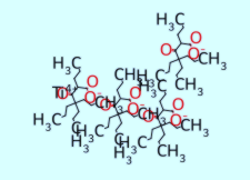 CCCC(C(=O)[O-])C(=O)C(CCC)(CCC)CCC.CCCC(C(=O)[O-])C(=O)C(CCC)(CCC)CCC.CCCC(C(=O)[O-])C(=O)C(CCC)(CCC)CCC.CCCC(C(=O)[O-])C(=O)C(CCC)(CCC)CCC.[Ti+4]